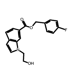 O=C(OCc1ccc(F)cc1)c1ccc2ccn(CCO)c2c1